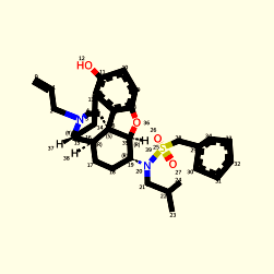 C=CCN1CC[C@@]23c4c5ccc(O)c4C[C@@H]1[C@@H]2CC[C@@H](N(CC(C)C)S(=O)(=O)Cc1ccccc1)[C@@H]3O5